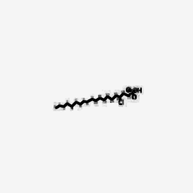 CCCCCCCCCCCCCCCCC(Cl)CCS(=O)(=O)O